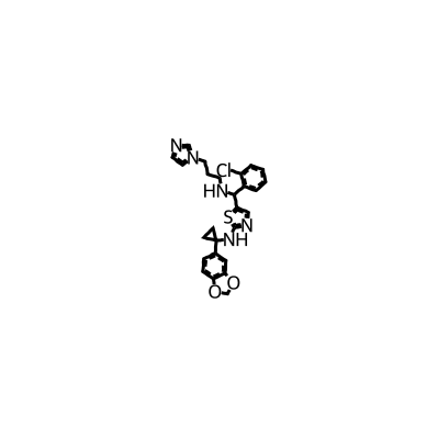 Clc1ccccc1C(NCCCn1ccnc1)c1cnc(NC2(c3ccc4c(c3)OCO4)CC2)s1